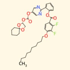 CCCCCCCCCCOc1ccc(C(=O)Oc2ccccc2-c2ncc(OC(=O)O[C@@H]3COC4(CCCCC4)O3)cn2)c(F)c1F